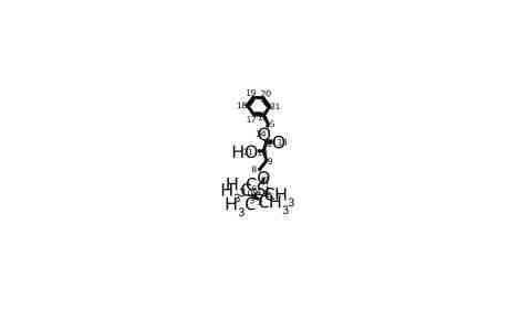 CC(C)(C)[Si](C)(C)OCCC(O)C(=O)OCc1ccccc1